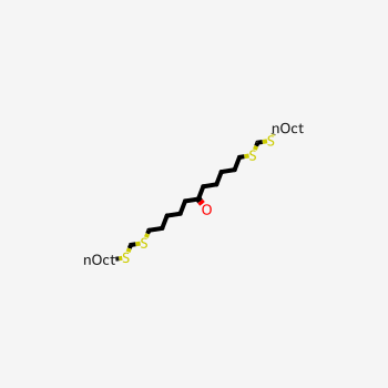 CCCCCCCCSCSCCCCCC(=O)CCCCCSCSCCCCCCCC